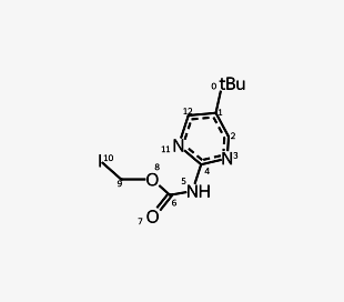 CC(C)(C)c1cnc(NC(=O)OCI)nc1